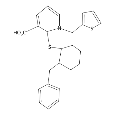 O=C(O)C1=CC=CN(Cc2cccs2)C1SC1CCCCC1Cc1ccccc1